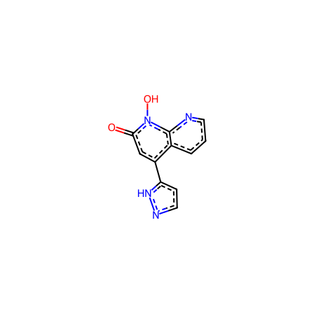 O=c1cc(-c2ccn[nH]2)c2cccnc2n1O